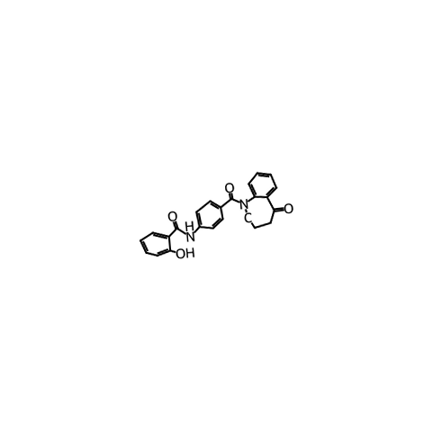 O=C(Nc1ccc(C(=O)N2CCCC(=O)c3ccccc32)cc1)c1ccccc1O